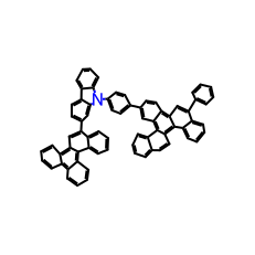 c1ccc(-c2cc3c4ccc(-c5ccc(-n6c7ccccc7c7ccc(-c8cc9c%10ccccc%10c%10ccccc%10c9c9ccccc89)cc76)cc5)cc4c4c5ccccc5ccc4c3c3ccccc23)cc1